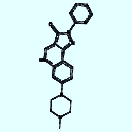 CN1CCN(c2ccc3c4nn(-c5ccccc5)c(=O)c-4c[nH]c3c2)CC1